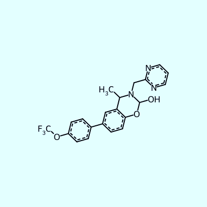 CC1c2cc(-c3ccc(OC(F)(F)F)cc3)ccc2OC(O)N1Cc1ncccn1